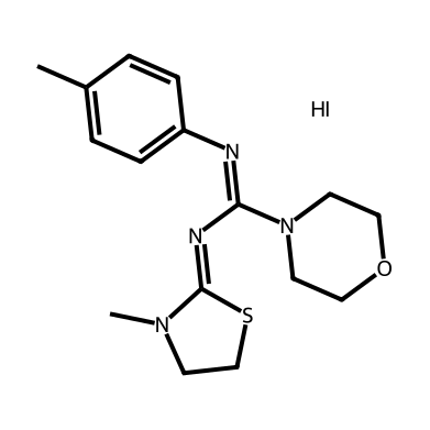 Cc1ccc(N=C(N=C2SCCN2C)N2CCOCC2)cc1.I